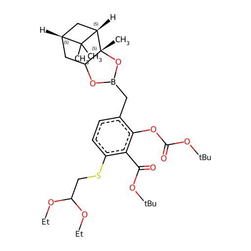 CCOC(CSc1ccc(CB2OC3C[C@@H]4C[C@@H](C4(C)C)[C@]3(C)O2)c(OC(=O)OC(C)(C)C)c1C(=O)OC(C)(C)C)OCC